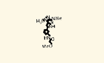 CNc1nc2[nH]c(-c3cccc(CNC(=O)CCOC)c3)cc2c2c1ncn2C